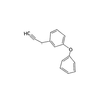 C#C[CH]c1cccc(Oc2ccccc2)c1